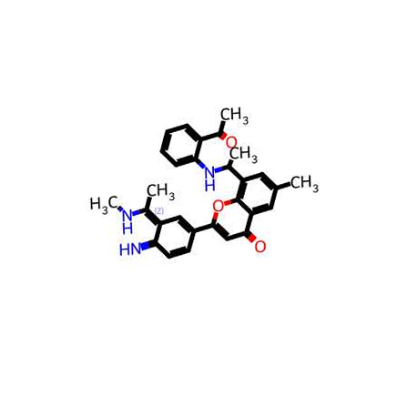 CN/C(C)=C1/C=C(c2cc(=O)c3cc(C)cc(C(C)Nc4ccccc4C(C)=O)c3o2)C=CC1=N